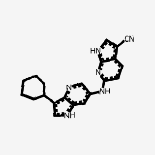 N#Cc1c[nH]c2nc(Nc3cnc4c(C5CCCCC5)c[nH]c4c3)ccc12